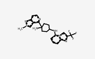 Cn1cc2c(C3(N)CCC(Nc4cccc5nc(C(F)(F)F)cn45)CC3)nccc2n1